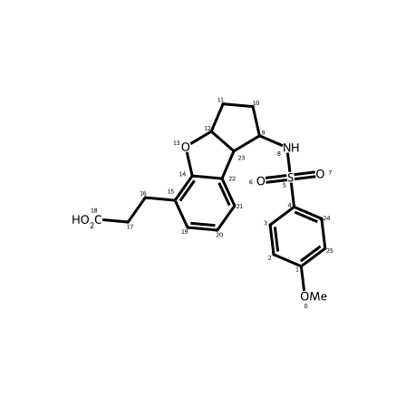 COc1ccc(S(=O)(=O)NC2CCC3Oc4c(CCC(=O)O)cccc4C23)cc1